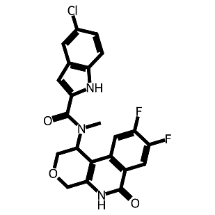 CN(C(=O)c1cc2cc(Cl)ccc2[nH]1)C1COCc2[nH]c(=O)c3cc(F)c(F)cc3c21